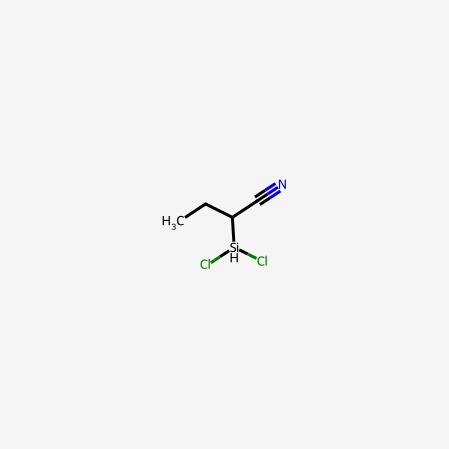 CCC(C#N)[SiH](Cl)Cl